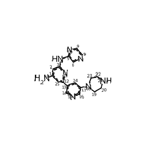 Nc1cc(Nc2cnccn2)nc(-c2cncc(N3CCNCC3)c2)c1